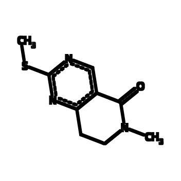 CSc1ncc2c(n1)CCN(C)C2=O